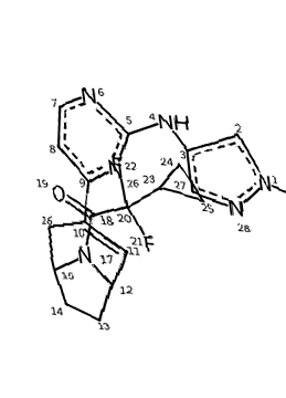 Cn1cc(Nc2nccc(C3=CC4CCC(C3)N4C(=O)C(F)(F)C3CC3)n2)cn1